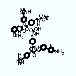 CC(C)(C)OC(=O)NC[C@H]1CC[C@H](C(=O)N(c2ccc(-c3nnn[nH]3)cc2)[C@@H](Cc2cccc(Br)c2)C(N)=O)CC1.Cc1cc(N)ccc1-c1cccc(C[C@H](NC(=O)[C@H]2CC[C@H](CNC(=O)O)CC2)C(=O)Nc2ccc(-c3nnn[nH]3)cc2)c1